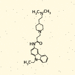 CCn1c2ccccc2c2cc(NC(=O)CCN3CCC(CCN(C)C)CC3)ccc21